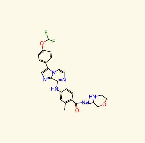 Cc1cc(Nc2nccn3c(-c4ccc(OC(F)F)cc4)cnc23)ccc1C(=O)NCC1COCCN1